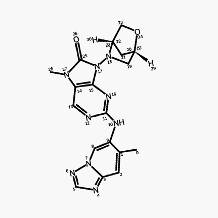 Cc1cc2ncnn2cc1Nc1ncc2c(n1)n(N1C[C@@H]3C[C@H]1CO3)c(=O)n2C